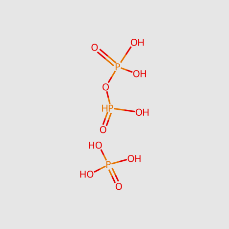 O=P(O)(O)O.O=[PH](O)OP(=O)(O)O